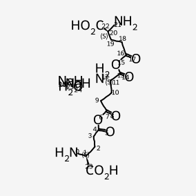 N[C@@H](CCC(=O)OC(=O)CC[C@H](N)C(=O)OC(=O)CC[C@H](N)C(=O)O)C(=O)O.O.[NaH].[NaH]